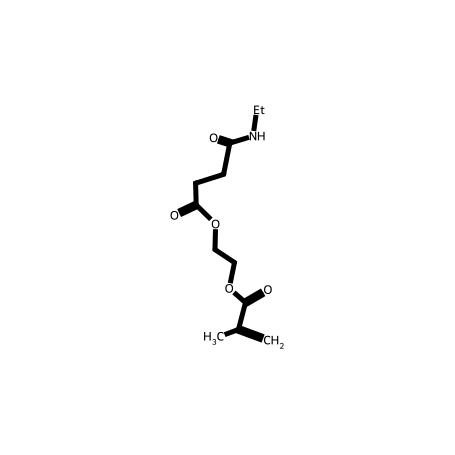 C=C(C)C(=O)OCCOC(=O)CCC(=O)NCC